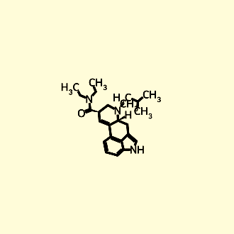 CC(C)C.CCN(CC)C(=O)[C@@H]1C=C2c3cccc4[nH]cc(c34)C[C@H]2N(C)C1